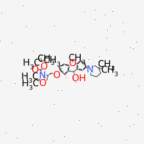 COc1ccc(N2CCCC(C)(C)C2)cc1C(O)c1cccc(OC[C@H]2COC(C)(C)N2C(=O)OC(C)(C)C)c1